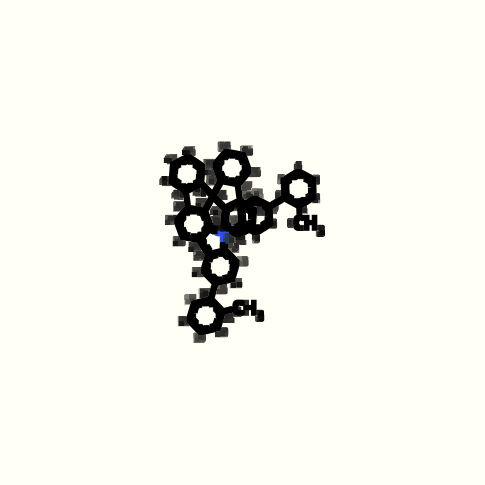 Cc1ccccc1-c1ccc(-n2c3ccc(-c4ccccc4C)cc3c3ccc4c(c32)C2(c3ccccc3-c3ccccc32)c2ccccc2-4)cc1